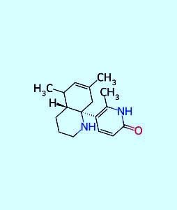 CC1=CC(C)[C@H]2CCCN[C@]2(c2ccc(=O)[nH]c2C)C1